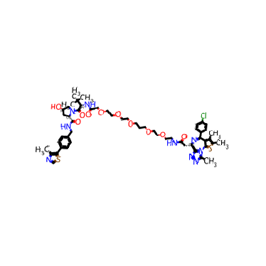 Cc1ncsc1-c1ccc(CNC(=O)[C@@H]2C[C@@H](O)CN2C(=O)[C@@H](NC(=O)COCCOCCOCCCOCCOCCNC(=O)C[C@@H]2N=C(c3ccc(Cl)cc3)c3c(sc(C)c3C)-n3c(C)nnc32)C(C)(C)C)cc1